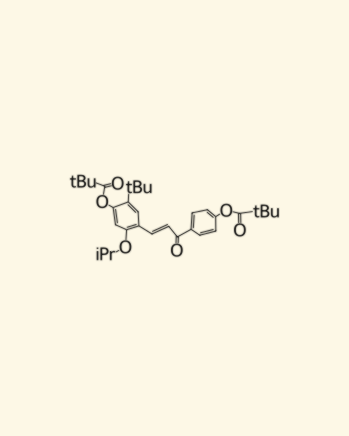 CC(C)Oc1cc(OC(=O)C(C)(C)C)c(C(C)(C)C)cc1C=CC(=O)c1ccc(OC(=O)C(C)(C)C)cc1